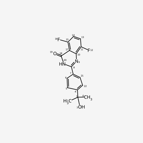 CC(C)(O)c1ccc(-c2nc3c(F)ccc(F)c3c(=O)[nH]2)cc1